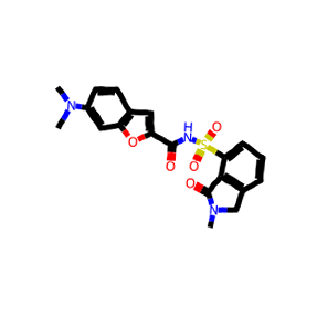 CN1Cc2cccc(S(=O)(=O)NC(=O)c3cc4ccc(N(C)C)cc4o3)c2C1=O